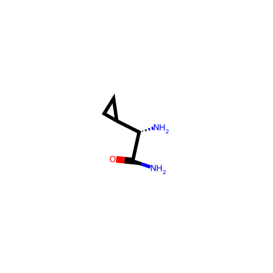 NC(=O)[C@@H](N)C1CC1